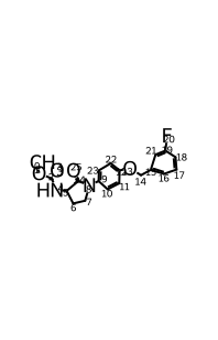 COC(=O)NC1CCN(c2ccc(OCc3cccc(F)c3)cc2)C1=O